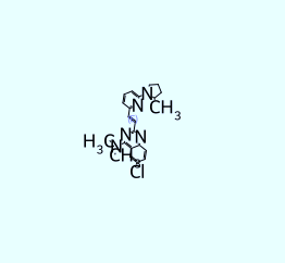 CC1CCCN1c1cccc(/C=C/c2nc(N(C)C)c3cc(Cl)ccc3n2)n1